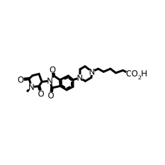 CN1C(=O)CCC(N2C(=O)c3ccc(N4CCN(CCCCCC(=O)O)CC4)cc3C2=O)C1=O